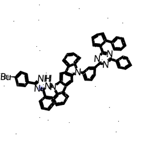 CC[C@H](C)c1ccc(C(=N)/N=C(\Nn2c3ccccc3c3cc4c(cc32)c2ccccc2n4-c2cccc(-c3nc(-c4ccccc4)nc(-c4ccccc4-c4ccccc4)n3)c2)c2ccccc2)cc1